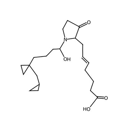 O=C(O)CCCC=CCC1C(=O)CCN1C(O)CCCC1(CC2CC2)CC1